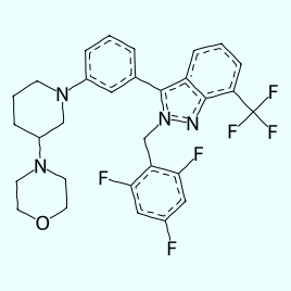 Fc1cc(F)c(Cn2nc3c(C(F)(F)F)cccc3c2-c2cccc(N3CCCC(N4CCOCC4)C3)c2)c(F)c1